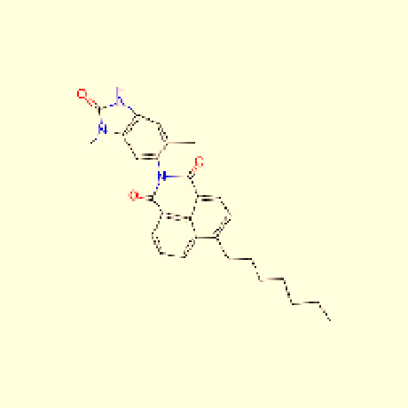 CCCCCCCc1ccc2c3c(cccc13)C(=O)N(c1cc3c(cc1C)[nH]c(=O)n3C)C2=O